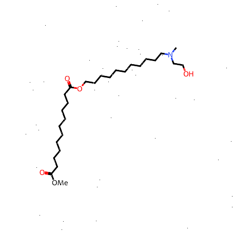 COC(=O)CCCCCCCCCCC(=O)OCCCCCCCCCCCN(C)CCO